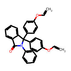 C=COc1ccc(C2(c3ccc(OC=C)cc3)c3ccccc3C(=O)N2c2ccccc2)cc1